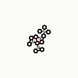 c1ccc([Si](c2ccccc2)(c2ccccc2)c2ccc3c4ccccc4n(-c4ccccc4-c4ccc(-n5c6ccccc6c6ccccc65)cc4-n4c5ccccc5c5ccccc54)c3c2)cc1